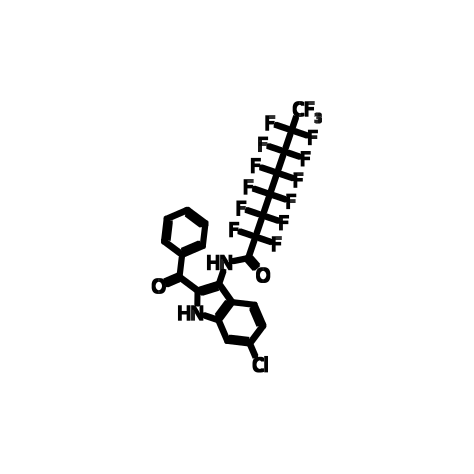 O=C(c1ccccc1)c1[nH]c2cc(Cl)ccc2c1NC(=O)C(F)(F)C(F)(F)C(F)(F)C(F)(F)C(F)(F)C(F)(F)C(F)(F)F